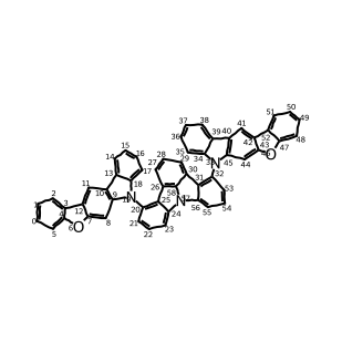 c1ccc2c(c1)oc1cc3c(cc12)c1ccccc1n3-c1cccc2c1c1cccc3c4c(-n5c6ccccc6c6cc7c(cc65)oc5ccccc57)cccc4n2c13